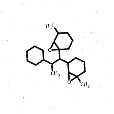 CC1CCCC2(C(C(C)C3CCCCC3)C3CCCC4(C)OC34)OC12